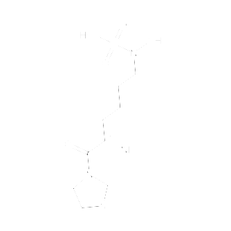 CN(CCCC[C@H](N)C(=O)N1CCSC1)S(C)(=O)=O